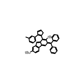 Cc1cccc(C2=C(c3c(C(C)(C)C)c(=C(c4ccccc4)c4ccccc4)cc4c3=[C]c3cc(C(C)(C)C)ccc3-4)CC=C2)c1